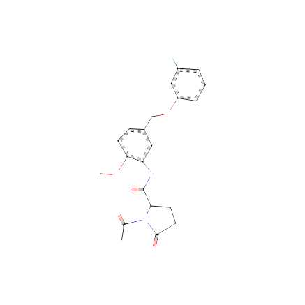 COc1ccc(COc2cccc(F)c2)cc1NC(=O)C1CCC(=O)N1C(C)=O